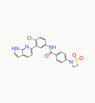 O=C(Nc1ccc(Cl)c(-c2ccc3cc[nH]c3n2)c1)c1ccc(N2CCS2(=O)=O)cc1